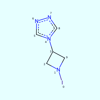 IN1CC(n2cnnc2)C1